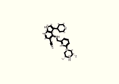 C[C@@H]1CN(c2cccc(CNc3c(C#N)cnc4[nH]cc(C5CCOCC5)c34)n2)C[C@H](C)N1